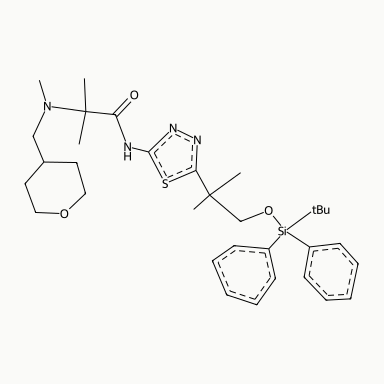 CN(CC1CCOCC1)C(C)(C)C(=O)Nc1nnc(C(C)(C)CO[Si](c2ccccc2)(c2ccccc2)C(C)(C)C)s1